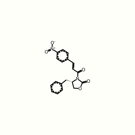 O=C(/C=C/c1ccc([N+](=O)[O-])cc1)N1C(=O)OC[C@@H]1Cc1ccccc1